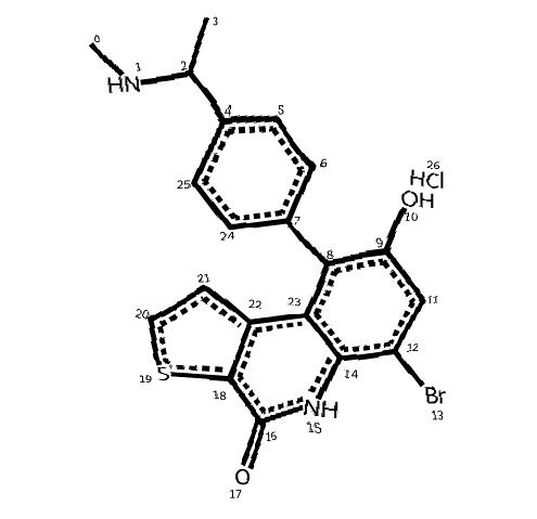 CNC(C)c1ccc(-c2c(O)cc(Br)c3[nH]c(=O)c4sccc4c23)cc1.Cl